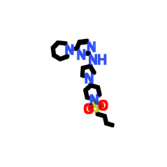 CCCCS(=O)(=O)N1CCC(N2CCC(Nc3nccc(N4CCCCCC4)n3)C2)CC1